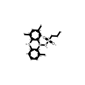 CCCS(=O)(=O)ON1c2cc(C)cc(C)c2Sc2cccc(C)c21